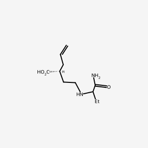 C=CC[C@H](CCNC(CC)C(N)=O)C(=O)O